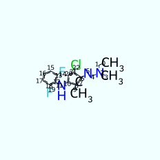 CCN(C)C=Nc1cc(C)c(Nc2c(F)cccc2F)cc1Cl